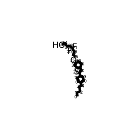 CCCCCc1ccc(-c2cc3ccc(OCCCC(F)(F)CCCO)cc3s2)cc1